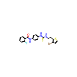 O=C(Nc1ccc(NC(=S)NCCc2sccc2Br)cc1)c1ccccc1F